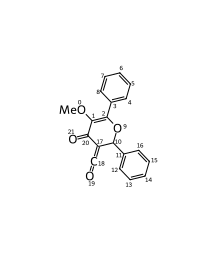 COC1=C(c2ccccc2)OC(c2ccccc2)C(=C=O)C1=O